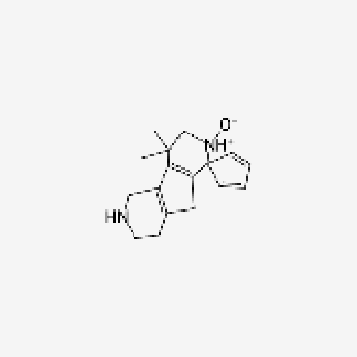 CC1(C)C[NH+]([O-])C2(C=CC=C2)C2=C1C1=C(CCNC1)C2